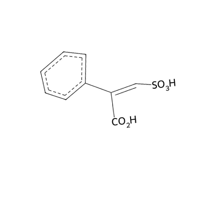 O=C(O)C(=CS(=O)(=O)O)c1ccccc1